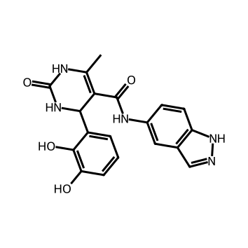 CC1=C(C(=O)Nc2ccc3[nH]ncc3c2)C(c2cccc(O)c2O)NC(=O)N1